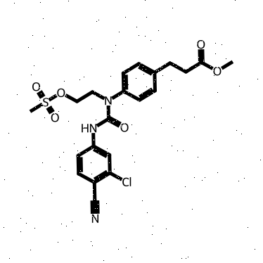 COC(=O)CCc1ccc(N(CCOS(C)(=O)=O)C(=O)Nc2ccc(C#N)c(Cl)c2)cc1